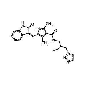 Cc1[nH]c(/C=C2\C(=O)Nc3ccccc32)c(C)c1C(=O)NCC(O)Cn1ccnn1